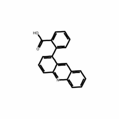 O=C(O)c1ccccc1-c1cccc2nc3ccccc3cc12